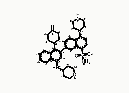 NS(=O)(=O)c1ccc(N2CCNCC2)c2ccc(-c3cc(NC4CCOCC4)c4ccccc4c3C3CCNCC3)cc12